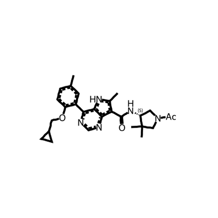 CC(=O)N1C[C@@H](NC(=O)c2c(C)[nH]c3c(-c4cc(C)ccc4OCC4CC4)ncnc23)C(C)(C)C1